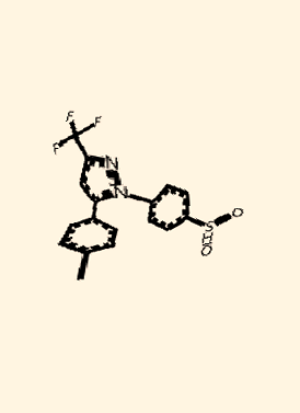 Cc1ccc(-c2cc(C(F)(F)F)nn2-c2ccc([SH](=O)=O)cc2)cc1